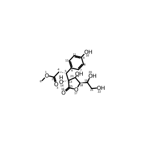 COC(=O)C[C@H](c1ccc(O)cc1)[C@]1(O)C(=O)O[C@H](C(O)CO)[C@H]1O